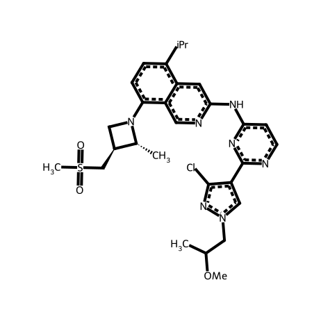 COC(C)Cn1cc(-c2nccc(Nc3cc4c(C(C)C)ccc(N5C[C@H](CS(C)(=O)=O)[C@H]5C)c4cn3)n2)c(Cl)n1